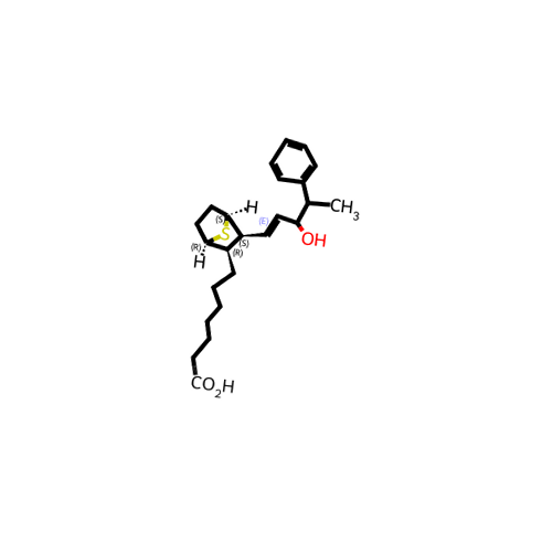 CC(c1ccccc1)C(O)/C=C/[C@H]1[C@@H](CCCCCCC(=O)O)[C@H]2CC[C@@H]1S2